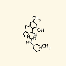 Cc1cc(O)c(-c2nnc(NC3CCCN(C)C3)n3cccc23)c(F)c1